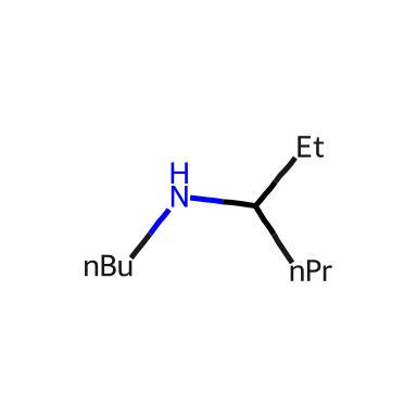 CCCCNC(CC)CCC